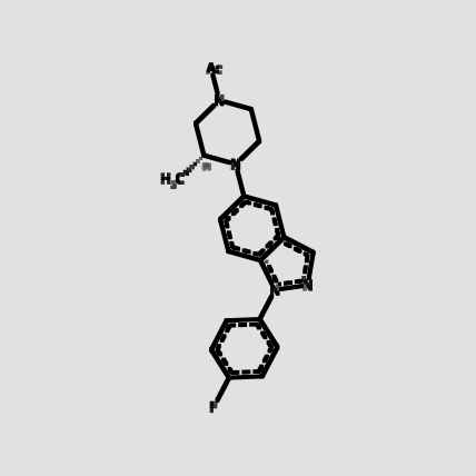 CC(=O)N1CCN(c2ccc3c(cnn3-c3ccc(F)cc3)c2)[C@H](C)C1